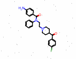 Nc1ccc(C(=O)N(CCN2CCC(C(=O)c3ccc(F)cc3)CC2)c2ccccc2)cc1